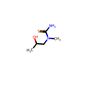 CC(O)CN(C)C(N)=S